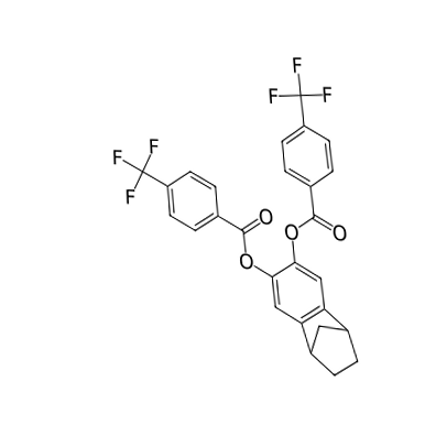 O=C(Oc1cc2c(cc1OC(=O)c1ccc(C(F)(F)F)cc1)C1CCC2C1)c1ccc(C(F)(F)F)cc1